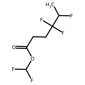 CC(F)C(F)(F)CCC(=O)OC(F)F